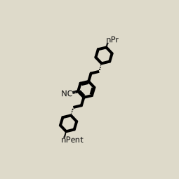 CCCCC[C@H]1CC[C@H](CCc2ccc(CC[C@H]3CC[C@H](CCC)CC3)cc2C#N)CC1